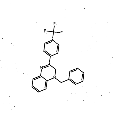 FC(F)(F)c1ccc(C2=Nc3ccccc3N(Cc3ccccc3)C2)cc1